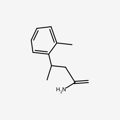 C=C(N)CC(C)c1ccccc1C